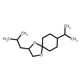 CC(C)CC1COC2(CCC(C(C)C)CC2)O1